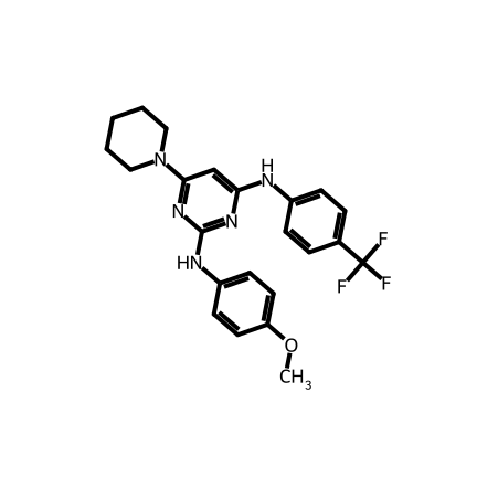 COc1ccc(Nc2nc(Nc3ccc(C(F)(F)F)cc3)cc(N3CCCCC3)n2)cc1